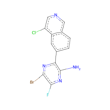 Nc1nc(F)c(Br)nc1-c1ccc2cncc(Cl)c2c1